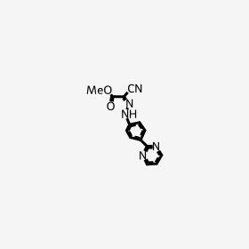 COC(=O)C(C#N)=NNc1ccc(-c2ncccn2)cc1